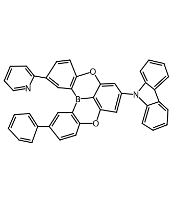 c1ccc(-c2ccc3c(c2)B2c4cc(-c5ccccn5)ccc4Oc4cc(-n5c6ccccc6c6ccccc65)cc(c42)O3)cc1